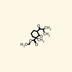 CCOC(=O)C1(C)CCCC(C(=O)C(C)C)C1=O